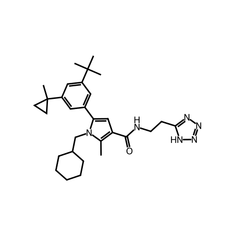 Cc1c(C(=O)NCCc2nnn[nH]2)cc(-c2cc(C(C)(C)C)cc(C3(C)CC3)c2)n1CC1CCCCC1